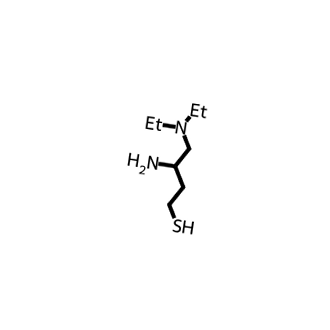 CCN(CC)CC(N)CCS